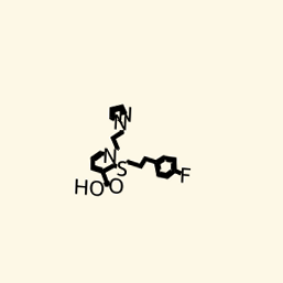 O=C(O)C1=CC=CN(CCCn2cccn2)C1SCCCc1ccc(F)cc1